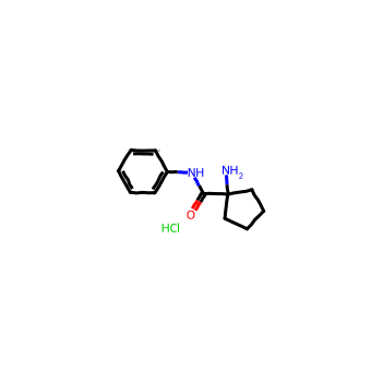 Cl.NC1(C(=O)Nc2[c]cccc2)CCCC1